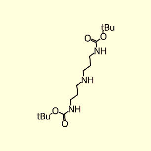 CC(C)(C)OC(=O)NCCCNCCCNC(=O)OC(C)(C)C